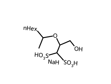 CCCCCCC(C)OC(CO)C(S(=O)(=O)O)S(=O)(=O)O.[NaH]